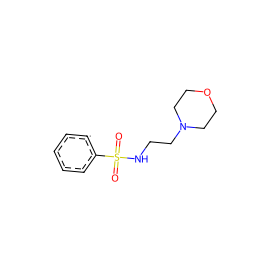 O=S(=O)(NCCN1CCOCC1)c1[c]cccc1